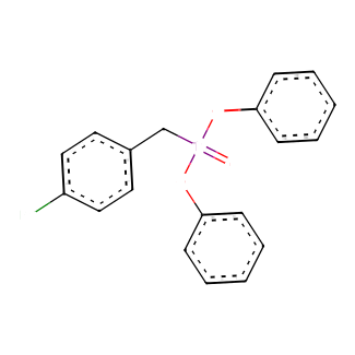 O=P(Cc1ccc(Br)cc1)(Oc1ccccc1)Oc1ccccc1